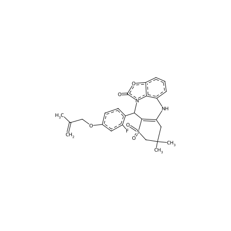 C=C(C)COc1ccc(C2C3=C(CC(C)(C)CS3(=O)=O)Nc3cccc4oc(=O)n2c34)c(F)c1